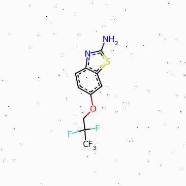 Nc1nc2ccc(OCC(F)(F)C(F)(F)F)cc2s1